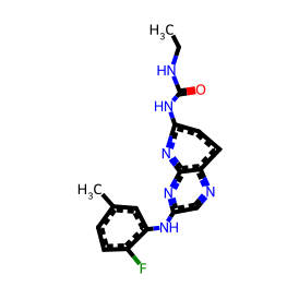 CCNC(=O)Nc1ccc2ncc(Nc3cc(C)ccc3F)nc2n1